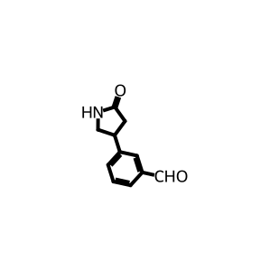 O=Cc1cccc(C2CNC(=O)C2)c1